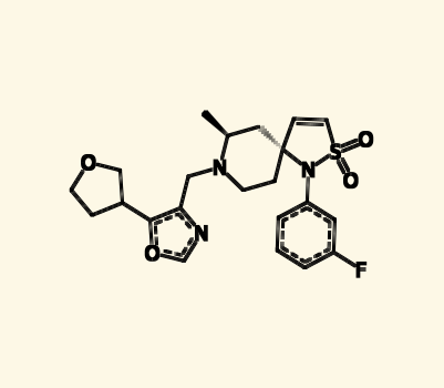 C[C@H]1C[C@@]2(C=CS(=O)(=O)N2c2cccc(F)c2)CCN1Cc1ncoc1C1CCOC1